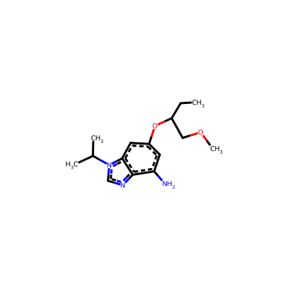 CCC(COC)Oc1cc(N)c2ncn(C(C)C)c2c1